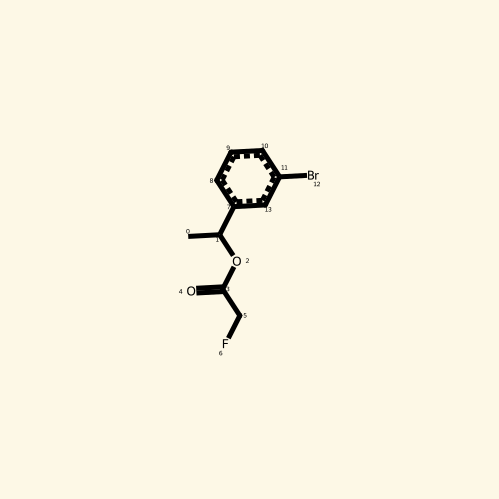 CC(OC(=O)CF)c1cccc(Br)c1